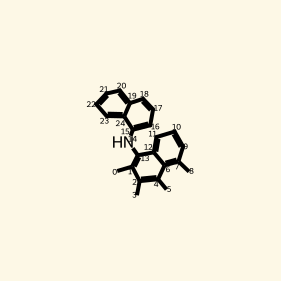 Cc1c(C)c(C)c2c(C)cccc2c1Nc1cccc2ccccc12